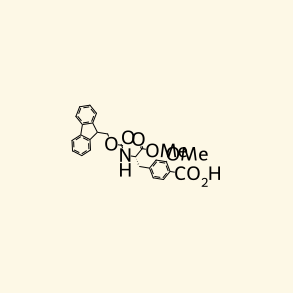 COC(=O)[C@H](Cc1ccc(C(=O)O)c(OC)c1)NC(=O)OCC1c2ccccc2-c2ccccc21